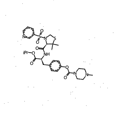 CC(C)OC(=O)[C@H](Cc1ccc(OC(=O)N2CCN(C)CC2)cc1)NC(=O)[C@H]1N(S(=O)(=O)c2cccnc2)CSC1(C)C